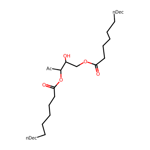 CCCCCCCCCCCCCCCC(=O)OCC(O)C(OC(=O)CCCCCCCCCCCCCCC)C(C)=O